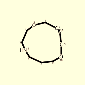 C1CNCCOCCOCOC1